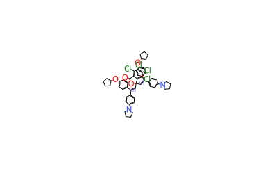 O=C1OC(/C=C(\c2ccc(OC3CCCC3)cc2)c2ccc(N3CCCC3)cc2)(/C=C(\c2ccc(OC3CCCC3)cc2)c2ccc(N3CCCC3)cc2)c2c(Cl)c(Cl)c(Cl)c(Cl)c21